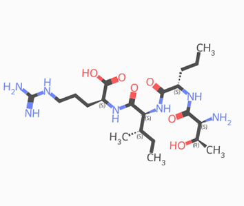 CCC[C@H](NC(=O)[C@@H](N)[C@@H](C)O)C(=O)N[C@H](C(=O)N[C@@H](CCCNC(=N)N)C(=O)O)[C@@H](C)CC